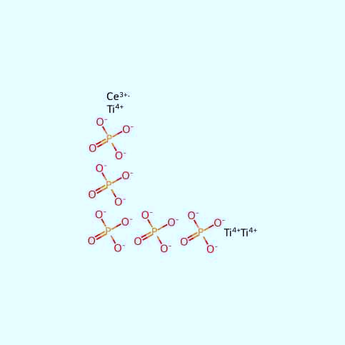 O=P([O-])([O-])[O-].O=P([O-])([O-])[O-].O=P([O-])([O-])[O-].O=P([O-])([O-])[O-].O=P([O-])([O-])[O-].[Ce+3].[Ti+4].[Ti+4].[Ti+4]